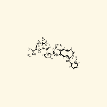 CN[C@@H](C)C(=O)N[C@H](C(=O)N1CCC[C@H]1C(=O)Nc1cc2c(Nc3ccccc3Br)ncnc2cc1OC)C(C)(C)C